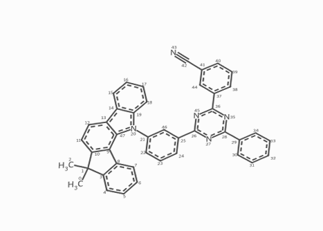 CC1(C)c2ccccc2-c2c1ccc1c3ccccc3n(-c3cccc(-c4nc(-c5ccccc5)nc(-c5cccc(C#N)c5)n4)c3)c21